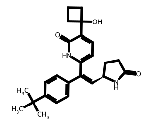 CC(C)(C)c1ccc(C(=C[C@H]2CCC(=O)N2)c2ccc(C3(O)CCC3)c(=O)[nH]2)cc1